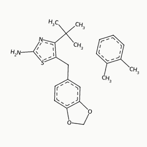 CC(C)(C)c1nc(N)sc1Cc1ccc2c(c1)OCO2.Cc1ccccc1C